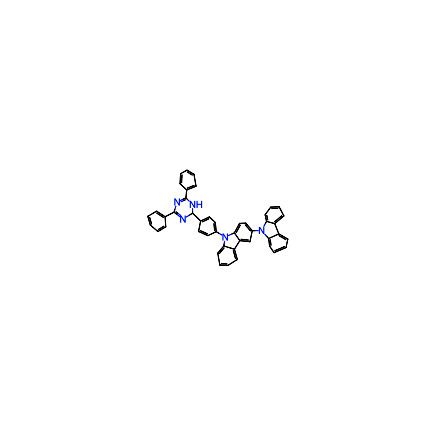 c1ccc(C2=NC(c3ccc(-n4c5ccccc5c5cc(-n6c7ccccc7c7ccccc76)ccc54)cc3)NC(c3ccccc3)=N2)cc1